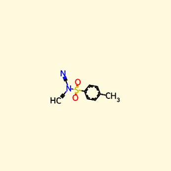 C#CN(C#N)S(=O)(=O)c1ccc(C)cc1